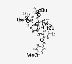 COc1ccc(CO[C@H](/C=C/I)[C@@H](C)CC(O)C[C@H](C)[C@@H]2O[C@H](CO[Si](C)(C)C(C)(C)C)[C@H](O[Si](C)(C)C(C)(C)C)C[C@@H]2O[Si](C)(C)C(C)(C)C)cc1